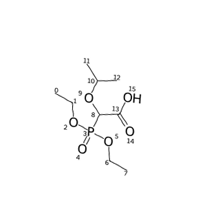 CCOP(=O)(OCC)C(OC(C)C)C(=O)O